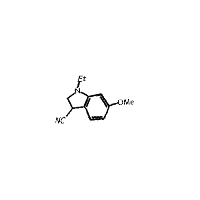 CCN1CC(C#N)c2ccc(OC)cc21